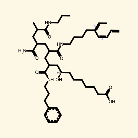 C=C/C=C\C(=C/C)CCCCNC(=O)C(CC(CC(C)C(=O)NCCC)C(N)=O)CC(C[C@H](O)CCCCCCC(=O)O)C(=O)NCCCc1ccccc1